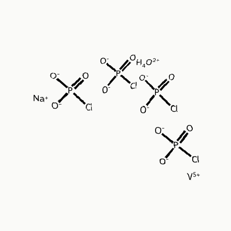 O=P([O-])([O-])Cl.O=P([O-])([O-])Cl.O=P([O-])([O-])Cl.O=P([O-])([O-])Cl.[Na+].[OH4+2].[V+5]